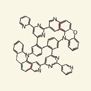 c1ccc(-c2cc(-c3cc(N4c5ccccc5Cc5ccccc54)ccc3-c3ccc(N4c5ccccc5Oc5ccccc54)cc3-c3cc(-c4ccccn4)nc(-c4cccnc4)n3)nc(-c3cccnc3)n2)nc1